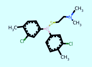 Cc1ccc(B(SCCN(C)C)c2ccc(C)c(Cl)c2)cc1Cl